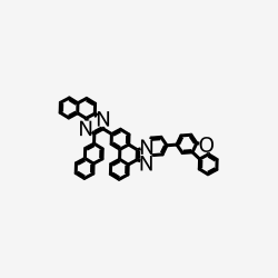 c1ccc2cc(-c3nc4c(ccc5ccccc54)nc3-c3ccc4c(c3)c3ccccc3c3nc5cc(-c6ccc7oc8ccccc8c7c6)ccn5c43)ccc2c1